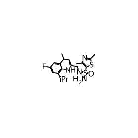 Cc1nc(C)c(S(N)(=O)=NCC2=CC(C)c3cc(F)cc(C(C)C)c3N2)s1